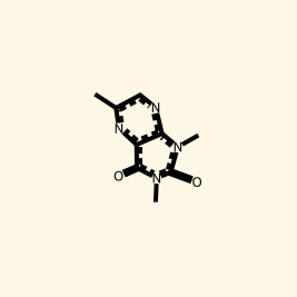 Cc1cnc2c(n1)c(=O)n(C)c(=O)n2C